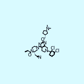 C=CC(=O)N1CCN(c2nc(OC[C@@H]3CC[C@@H](N(C)C)C3)nc3c2CCN(c2cccc(Cl)c2Cl)C3)C[C@@H]1CC#N